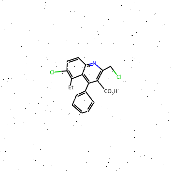 CCc1c(Cl)ccc2nc(CCl)c(C(=O)O)c(-c3ccccc3)c12